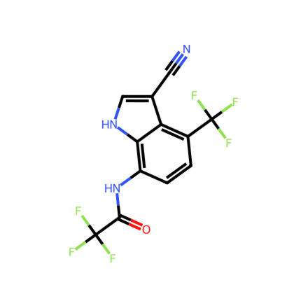 N#Cc1c[nH]c2c(NC(=O)C(F)(F)F)ccc(C(F)(F)F)c12